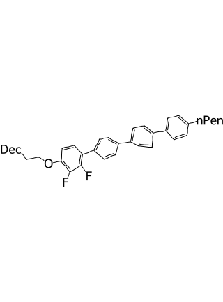 CCCCCCCCCCCCOc1ccc(-c2ccc(-c3ccc(-c4ccc(CCCCC)cc4)cc3)cc2)c(F)c1F